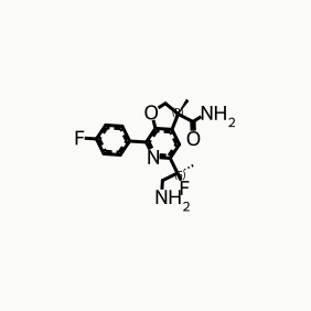 C[C@](F)(CN)c1cc2c(c(-c3ccc(F)cc3)n1)OC[C@]2(C)C(N)=O